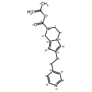 C=C(C)OC(=O)N1CCn2cc(CCc3ccncc3)nc2C1